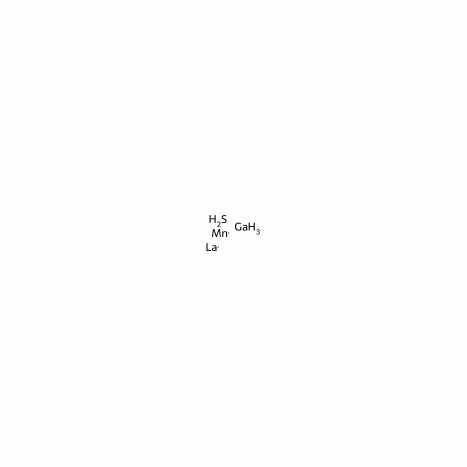 S.[GaH3].[La].[Mn]